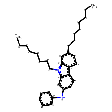 CCCCCCCCc1ccc2c3ccc(Nc4ccccc4)cc3n(CCCCCCCC)c2c1